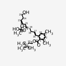 Cc1cc(C)c(C(=O)OCC[Si](C)(C)C)c(/C=C/CC[C@@H](C/C=C\CCO)OC(C)(C)O)c1